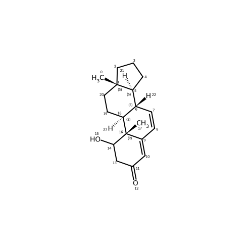 C[C@@]12CCC[C@H]1[C@@H]1C=CC3=CC(=O)CC(O)[C@]3(C)[C@H]1CC2